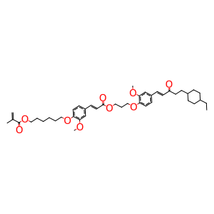 C=C(C)C(=O)OCCCCCCOc1ccc(/C=C/C(=O)OCCCOc2ccc(/C=C/C(=O)CCC3CCC(CC)CC3)cc2OC)cc1OC